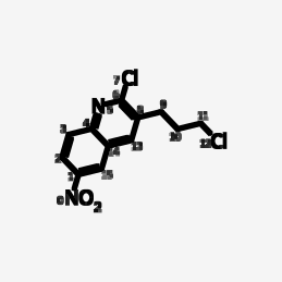 O=[N+]([O-])c1ccc2nc(Cl)c(CCCCl)cc2c1